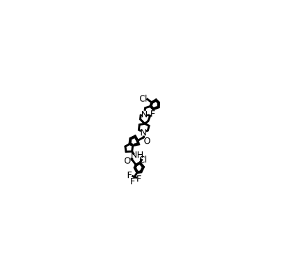 O=C(NC1CCc2ccc(C(=O)N3CCC4(CCN(Cc5c(F)cccc5Cl)CC4)CC3)cc21)c1cc(C(F)(F)F)ccc1Cl